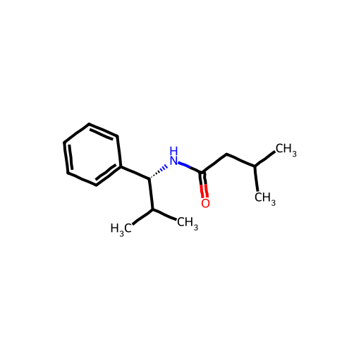 CC(C)CC(=O)N[C@@H](c1ccccc1)C(C)C